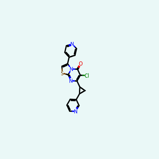 O=c1c(Cl)c(C2CC2c2cccnc2)nc2scc(-c3ccncc3)n12